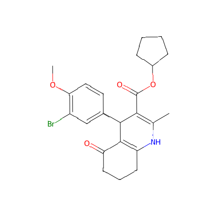 COc1ccc(C2C(C(=O)OC3CCCC3)=C(C)NC3=C2C(=O)CCC3)cc1Br